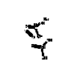 O=[PH](O)O.O=[PH](O)O.[C]=O.[Na]